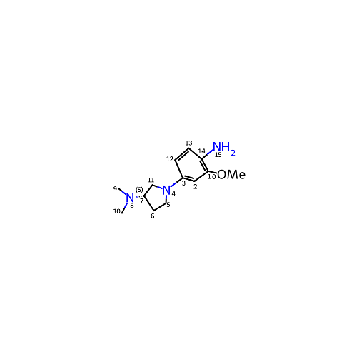 COc1cc(N2CC[C@H](N(C)C)C2)ccc1N